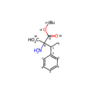 CC(c1ccccc1)C(N)(C(=O)O)C(=O)OC(C)(C)C